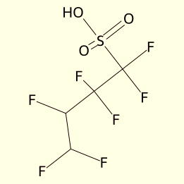 O=S(=O)(O)C(F)(F)C(F)(F)C(F)C(F)F